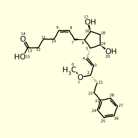 CO[C@H](/C=C/[C@@H]1[C@@H](C/C=C\CCCC(=O)O)[C@@H](O)C[C@H]1O)CCc1ccccc1